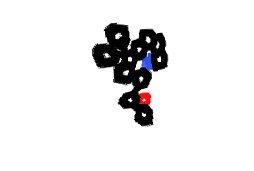 c1ccc(C2(c3ccccc3)c3ccccc3-c3c(N(c4ccc(-c5cccc6c5oc5ccccc56)cc4)c4cccc5ccc6ccccc6c45)cccc32)cc1